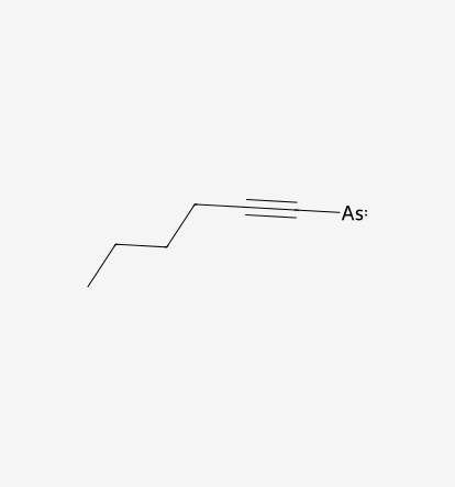 CCCCC#C[As]